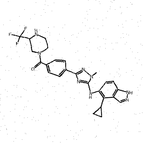 Cn1nc(-c2ccc(C(=O)N3CCNC(C(F)(F)F)C3)cc2)nc1Nc1ccc2[nH]ncc2c1C1CC1